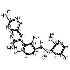 CNc1ncc2cc(-c3c(F)ccc(N[S+]([O-])c4cc(Cl)cnc4OC)c3F)c(NC)nc2n1